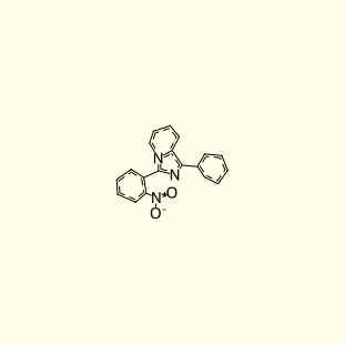 O=[N+]([O-])c1ccccc1-c1nc(-c2ccccc2)c2ccccn12